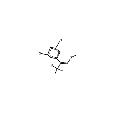 CS/C=C(\c1cc(Cl)cc(Cl)c1)C(F)(F)F